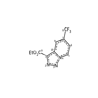 CCOC(=O)c1nnn2ccc(C(F)(F)F)cc12